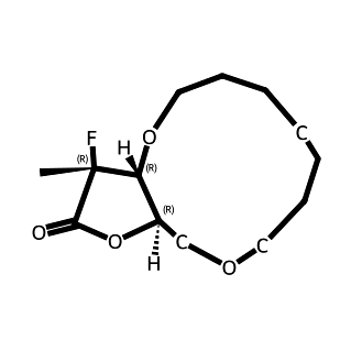 C[C@]1(F)C(=O)O[C@@H]2COCCCCCCCO[C@H]21